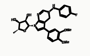 COc1ccc(-c2cn([C@@H]3O[C@H](C)[C@@H](O)[C@H]3O)c3c2CN(Nc2ccc(F)cc2)C=N3)cc1OC